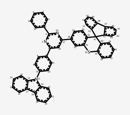 c1ccc(-c2nc(-c3ccc(-n4c5ccccc5c5ccccc54)cc3)cc(-c3ccc4c(c3)Sc3ccccc3C43c4ccccc4-c4ccccc43)n2)cc1